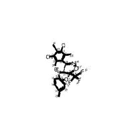 CO[C@]1(C(F)(F)F)ON=C(c2c(C)c(Cl)c(C)c(Cl)c2C)[C@@H]1[S@@+]([O-])c1ccc(C)cc1